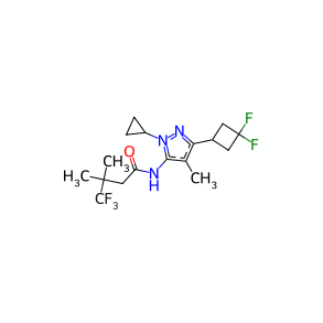 Cc1c(C2CC(F)(F)C2)nn(C2CC2)c1NC(=O)CC(C)(C)C(F)(F)F